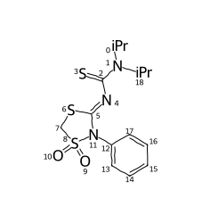 CC(C)N(C(=S)/N=C1\SCS(=O)(=O)N1c1ccccc1)C(C)C